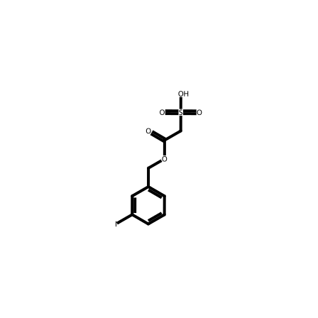 O=C(CS(=O)(=O)O)OCc1cccc(I)c1